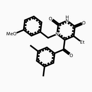 CCc1c(C(=O)c2cc(C)cc(C)c2)n(Cc2cccc(OC)c2)c(=O)[nH]c1=O